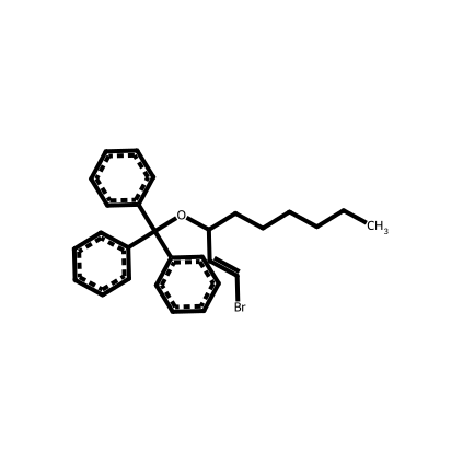 CCCCCCC(C=CBr)OC(c1ccccc1)(c1ccccc1)c1ccccc1